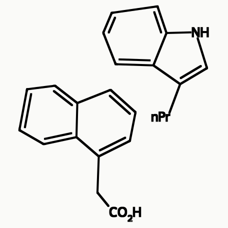 CCCc1c[nH]c2ccccc12.O=C(O)Cc1cccc2ccccc12